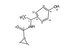 CC(NC(=O)C1CC1)c1ccc(O)cc1